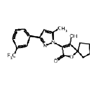 Cc1cc(-c2cccc(C(F)(F)F)c2)nn1C1=C(O)C2(CCCC2)OC1=O